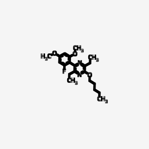 CCCCCOc1nc(CC)c(-c2c(F)cc(OC)cc2OC)nc1CC